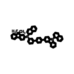 CC1(C)c2ccccc2-c2ccc(N(c3cccc(-c4ccc(-c5ccc6c(c5)c5ccccc5n6-c5cccc6ccccc56)cc4)c3)c3ccc4ccccc4c3)cc21